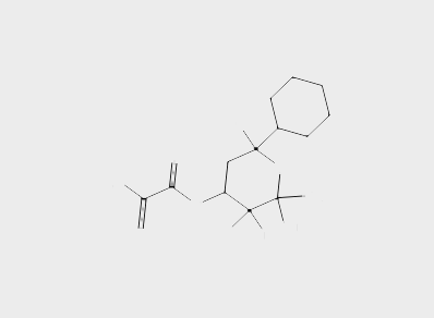 C=C(C(=O)OC1CC(C2CCCCC2)(C(F)(F)F)OC(O)(C(F)(F)F)C1(F)F)C(F)(F)F